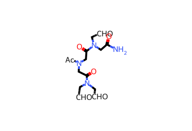 CC(=O)N(CC(=O)N(CC=O)CC=O)CC(=O)N(CC=O)CC(N)=O